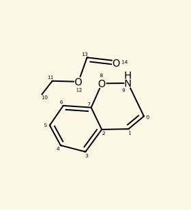 C1=Cc2ccccc2ON1.CCOC=O